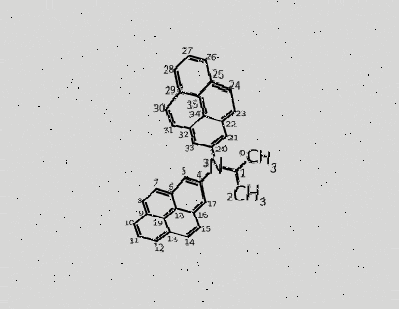 CC(C)N(c1cc2ccc3cccc4ccc(c1)c2c34)c1cc2ccc3cccc4ccc(c1)c2c34